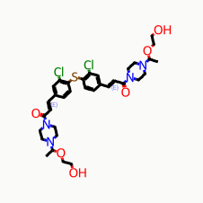 CC(OCCO)N1CCN(C(=O)/C=C/c2ccc(Sc3ccc(/C=C/C(=O)N4CCN(C(C)OCCO)CC4)cc3Cl)c(Cl)c2)CC1